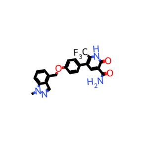 Cn1ncc2c(COc3ccc(-c4cc(C(N)=O)c(=O)[nH]c4C(F)(F)F)cc3)cccc21